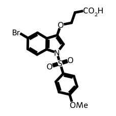 COc1ccc(S(=O)(=O)n2cc(OCCC(=O)O)c3cc(Br)ccc32)cc1